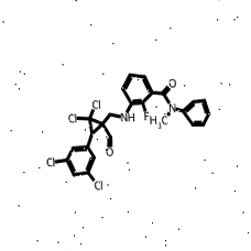 CN(C(=O)c1cccc(NCC2(C=O)C(c3cc(Cl)cc(Cl)c3)C2(Cl)Cl)c1F)c1ccccc1